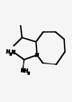 CC(C)C1CCCCCCN1C(N)N